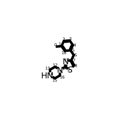 Cc1cccc(Cc2csc(N3CCNCC3)n2)c1